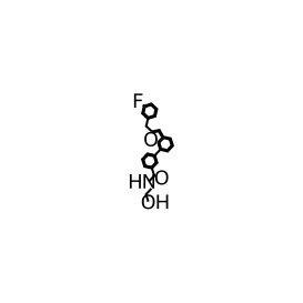 O=C(NCCO)c1cccc(-c2cccc3cc(Cc4cccc(F)c4)oc23)c1